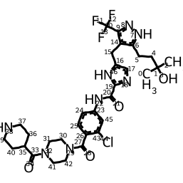 CC(C)(O)CCc1[nH]nc(C(F)(F)F)c1Cc1cnc(C(=O)Nc2ccc(C(=O)N3CCN(C(=O)C4CCNCC4)CC3)c(Cl)c2)[nH]1